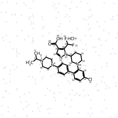 CC(C)N1CCN(c2ccc(-c3ccc(Cl)cc3N3CCCC(n4ncc(C(=O)O)c4C(F)F)C3)cc2)CC1.Cl